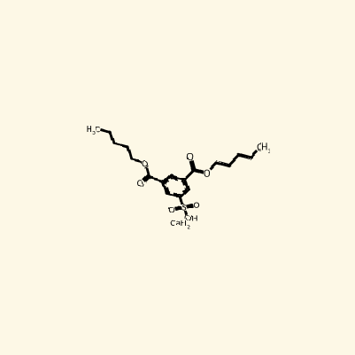 CCCCCOC(=O)c1cc(C(=O)OCCCCC)cc(S(=O)(=O)O)c1.[CaH2]